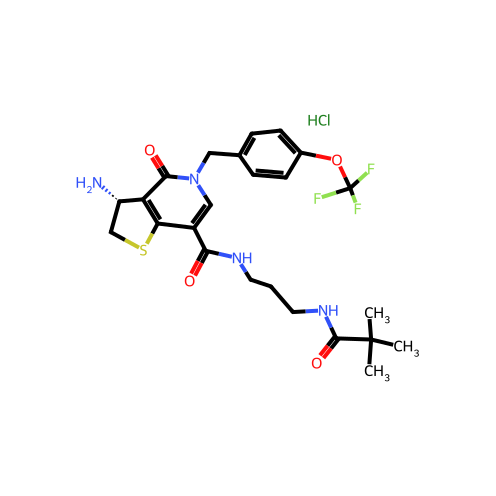 CC(C)(C)C(=O)NCCCNC(=O)c1cn(Cc2ccc(OC(F)(F)F)cc2)c(=O)c2c1SC[C@@H]2N.Cl